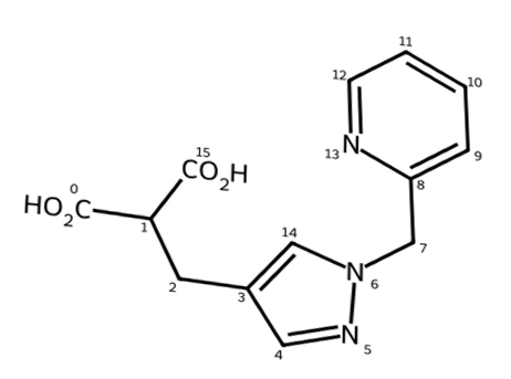 O=C(O)C(Cc1cnn(Cc2ccccn2)c1)C(=O)O